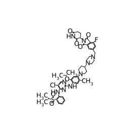 Cc1cc(Nc2ncc(Cl)c(Nc3ccccc3S(=O)(=O)C(C)C)n2)c(OC(C)C)cc1N1CCC(N2CCN(Cc3cc(F)c4c(c3)C(=O)N(C3CCC(=O)NC3=O)C4=O)CC2)CC1